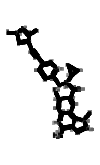 Cc1nn(C)cc1C#Cc1ccc(CN(C(=O)c2cc3c(cc2F)nc(N)c2cnn(C)c23)C2CC2)nc1